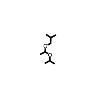 CC(C)COC(C)OC(C)C